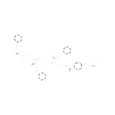 CC(C)(C)OC(=O)NNc1ccc(C(=O)NCCCN(CCCCN(CCCNC(=O)OCc2ccccc2)C(=O)OCc2ccccc2)C(=O)OCc2ccccc2)cn1